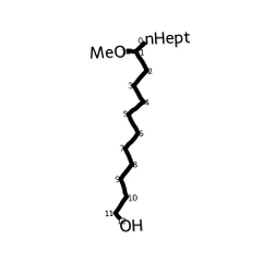 CCCCCCCC(CCCCCCCCCCO)OC